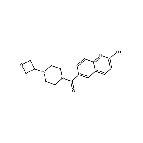 Cc1ccc2cc(C(=O)N3CCN(C4COC4)CC3)ccc2n1